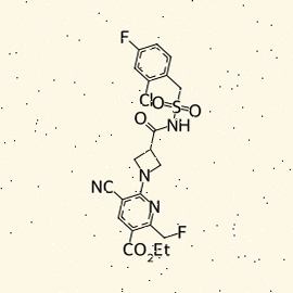 CCOC(=O)c1cc(C#N)c(N2CC(C(=O)NS(=O)(=O)Cc3ccc(F)cc3Cl)C2)nc1CF